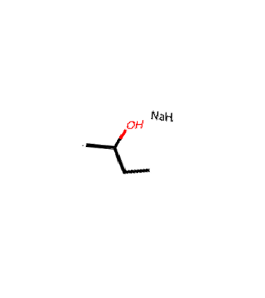 [CH2]C(O)CC.[NaH]